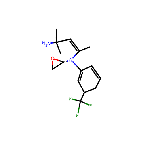 C/C(=C/C(C)(C)N)N(C1=CC(C(F)(F)F)CC=C1)[C@@H]1CO1